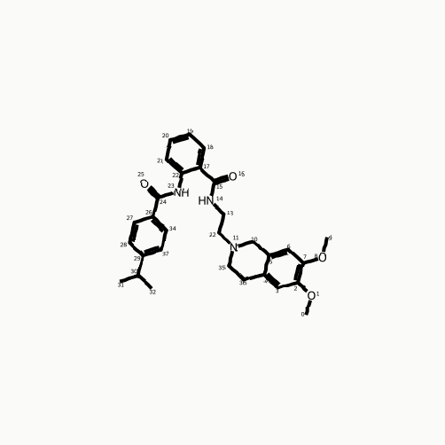 COc1cc2c(cc1OC)CN(CCNC(=O)c1ccccc1NC(=O)c1ccc(C(C)C)cc1)CC2